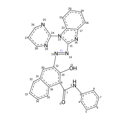 O=C(Nc1ccccc1)c1c(O)c(/N=N/c2nc3ccccc3n2-c2ncccn2)cc2ccccc12